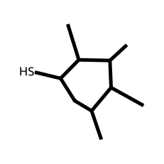 CC1CC(S)C(C)C(C)C1C